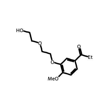 CCC(=O)c1ccc(OC)c(OCCOCCO)c1